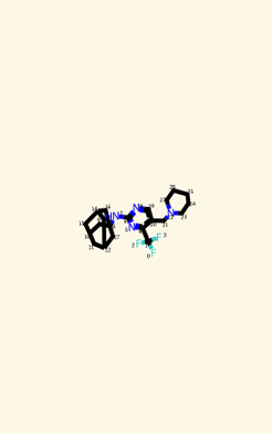 FC(F)(F)c1nc(NC23CC4CC(CC(C4)C2)C3)ncc1CN1CCCCC1